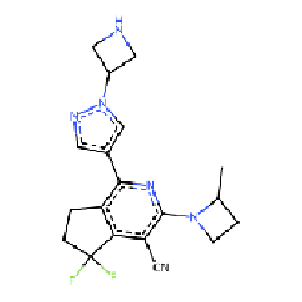 CC1CCN1c1nc(-c2cnn(C3CNC3)c2)c2c(c1C#N)C(F)(F)CC2